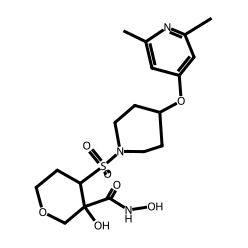 Cc1cc(OC2CCN(S(=O)(=O)C3CCOCC3(O)C(=O)NO)CC2)cc(C)n1